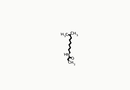 C=CC(=O)NCCCCCCCC(C)C